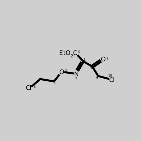 CCOC(=O)/C(=N\OCCCl)C(=O)CCl